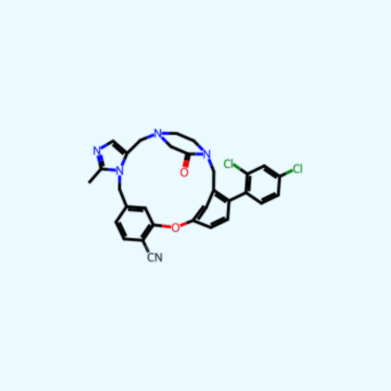 Cc1ncc2n1Cc1ccc(C#N)c(c1)Oc1ccc(-c3ccc(Cl)cc3Cl)c(c1)CN1CCN(CC1=O)C2